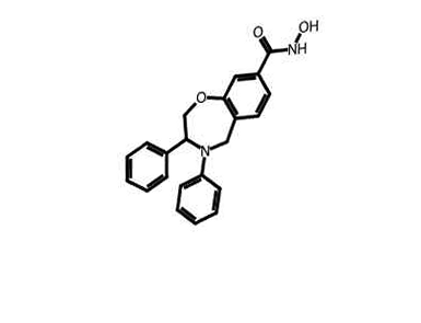 O=C(NO)c1ccc2c(c1)OCC(c1ccccc1)N(c1ccccc1)C2